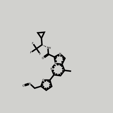 Cc1cc(-c2ccc(CN=O)o2)nn2c(C(=O)N[C@@H](C3CC3)C(F)(F)F)ncc12